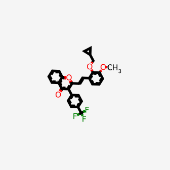 COc1cccc(/C=C/c2oc3ccccc3c(=O)c2-c2ccc(C(F)(F)F)cc2)c1OCC1CC1